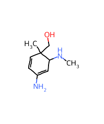 CNC1C=C(N)C=CC1(C)CO